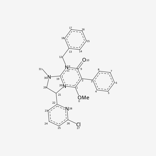 COc1c(-c2ccccc2)c(=O)[n+](Cc2ccccc2)c2n1C(c1cccc(Cl)n1)CN2C